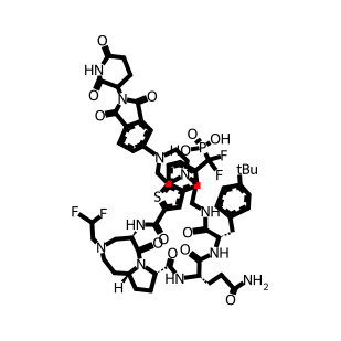 CC(C)(C)c1ccc(C[C@H](NC(=O)[C@H](CCC(N)=O)NC(=O)[C@@H]2CC[C@@H]3CCN(CC(F)F)C[C@H](NC(=O)c4cc5cc(C(F)(F)P(=O)(O)O)ccc5s4)C(=O)N32)C(=O)NCCN2CCN(c3ccc4c(c3)C(=O)N(C3CCC(=O)NC3=O)C4=O)CC2)cc1